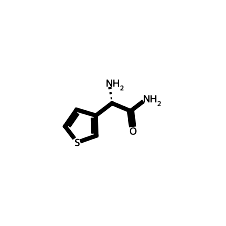 NC(=O)[C@@H](N)c1ccsc1